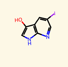 Oc1c[nH]c2ncc(I)cc12